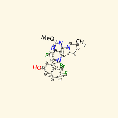 COc1nc(N2CCCC(C)C2)c2cnc(-c3cc(O)cc4ccc(F)c(Br)c34)c(F)c2n1